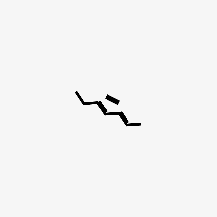 C=C.CC=CC=CCC